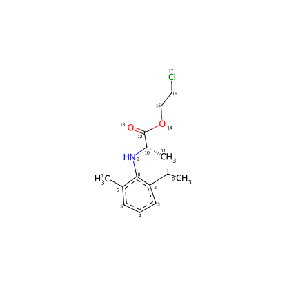 CCc1cccc(C)c1N[C@@H](C)C(=O)OCCCl